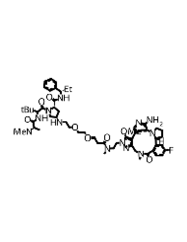 CC[C@H](NC(=O)[C@H]1C[C@@H](NCCOCCOCCC(=O)N(C)CCn2nc3c(c2OC)-c2cnc(N)c(c2)N2CCC[C@@H]2c2cc(F)ccc2C(=O)N(C)C3)CN1C(=O)C(NC(=O)[C@@H](C)NC)C(C)(C)C)c1ccccc1